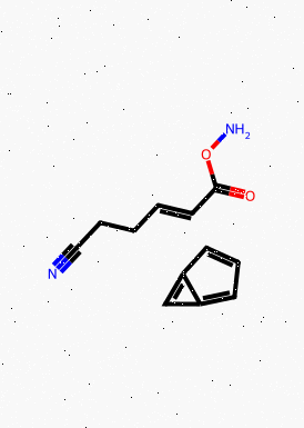 N#CCCC=CC(=O)ON.c1cc2cc-2c1